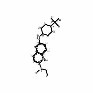 CCN(C)c1ccc2cc(OC3CCC(C(C)(C)C)CC3)ccc2n1